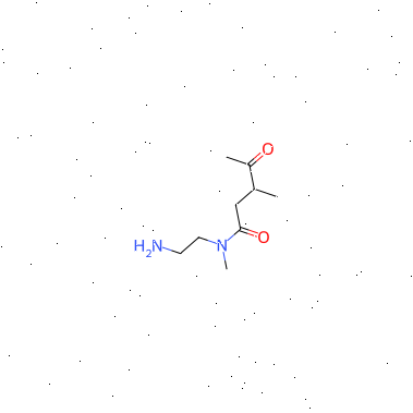 CC(=O)C(C)CC(=O)N(C)CCN